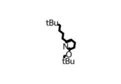 CC(C)(C)CCCCC1=CCCC(OCC(C)(C)C)=N1